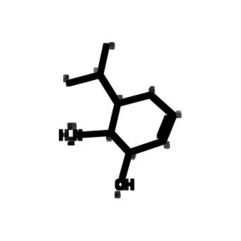 CC(C)C1CC=CC(O)C1N